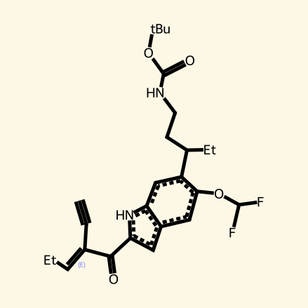 C#C/C(=C\CC)C(=O)c1cc2cc(OC(F)F)c(C(CC)CCNC(=O)OC(C)(C)C)cc2[nH]1